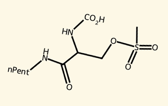 CCCCCNC(=O)C(COS(C)(=O)=O)NC(=O)O